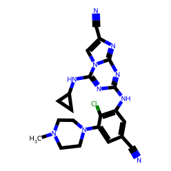 CN1CCN(c2cc(C#N)cc(Nc3nc(NC4CC4)n4cc(C#N)nc4n3)c2Cl)CC1